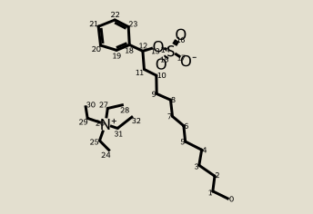 CCCCCCCCCCCCC(OS(=O)(=O)[O-])c1ccccc1.CC[N+](CC)(CC)CC